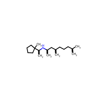 C=C(C)CCCC(=C)CC(=C)NC(=C)C1(C)CCCC1